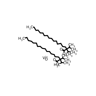 CCCCCCCCCCCCCCCCC(C(=O)[O-])(C(C)C)C(C)C.CCCCCCCCCCCCCCCCC(C(=O)[O-])(C(C)C)C(C)C.[O]=[V+2]